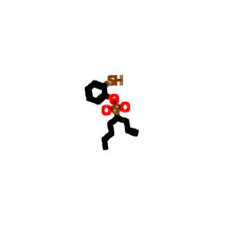 C=CCC(CCCC)S(=O)(=O)Oc1ccccc1S